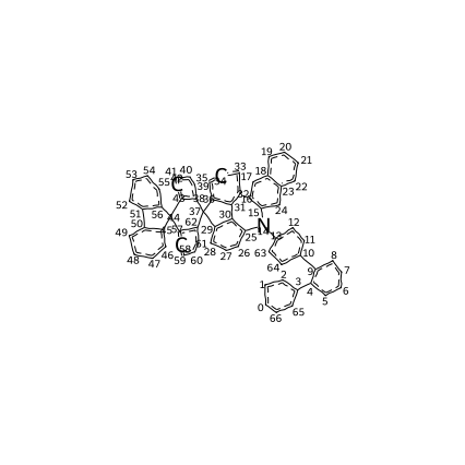 c1ccc(-c2ccccc2-c2ccc(N(c3ccc4ccccc4c3)c3cccc4c3-c3ccccc3C43c4ccccc4C4(c5ccccc5-c5ccccc54)c4ccccc43)cc2)cc1